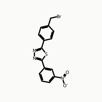 O=[N+]([O-])c1cccc(-c2nnc(-c3ccc(CBr)cc3)s2)c1